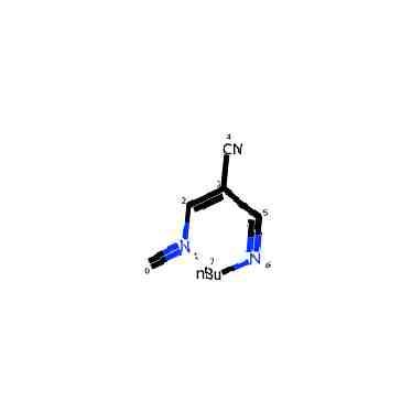 C=N/C=C(C#N)\C=N/CCCC